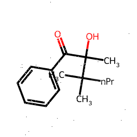 CCCC(C)(C)C(C)(O)C(=O)c1ccccc1